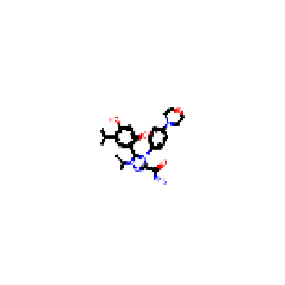 CC(C)c1cc(C2N(c3ccc(N4CCOCC4)cc3)C(C(N)=O)=NN2C(C)C)c(O)cc1O